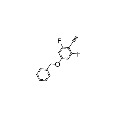 C#Cc1c(F)cc(OCc2ccccc2)cc1F